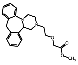 COC(=O)COCCN1CCN2c3ccccc3Cc3ccccc3C2C1